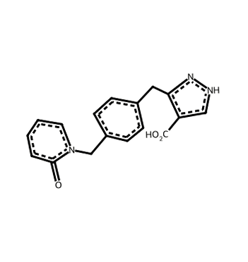 O=C(O)c1c[nH]nc1Cc1ccc(Cn2ccccc2=O)cc1